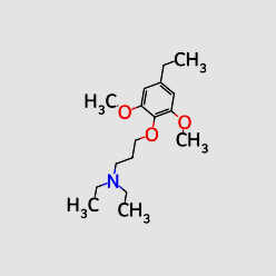 CCc1cc(OC)c(OCCCN(CC)CC)c(OC)c1